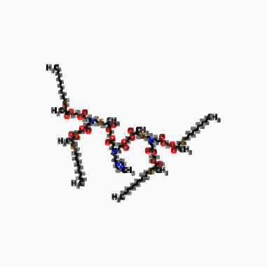 CCCCCCCCCCCCSCC(C)C(=O)OCCOC(=O)CCN(CCSCC(C)C(=O)OCCOC(=O)CCN(CCCN1CCN(C)CC1)CCC(=O)OCCOC(=O)C(C)CSCCN(CCC(=O)OCCOC(=O)C(C)CSCCCCCCCCCCCC)CCC(=O)OCCOC(=O)C(C)CSCCCCCCCCCCCC)CCC(=O)OCCOC(=O)C(C)CSCCCCCCCCCCCC